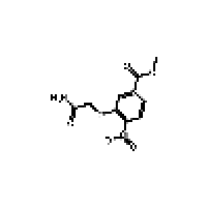 COC(=O)c1ccc([N+](=O)[O-])c(OCC(N)=O)c1